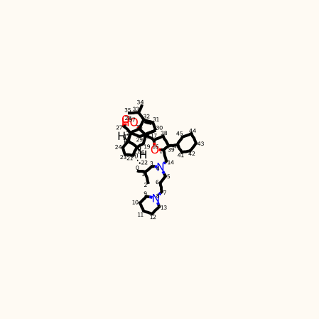 CC(C)CN(CCCN1CCCCC1)CC1OC(C23C[C@@H]4[C@H](C)CC[C@H]4C4(C=O)CC2C=C(C(C)C)C34O)CC1C1CCCCC1